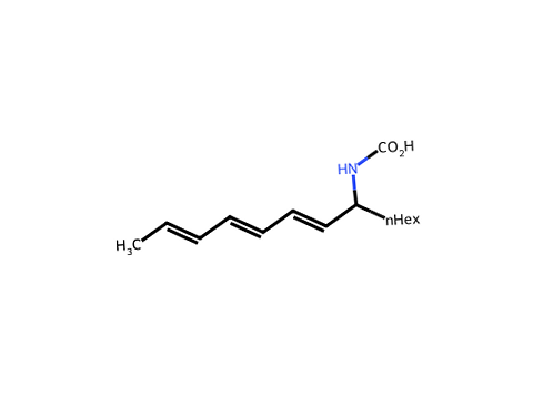 C/C=C/C=C/C=C/C(CCCCCC)NC(=O)O